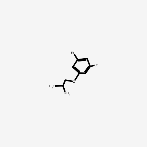 CCc1cc(CC)cc(OCC(C)N)c1